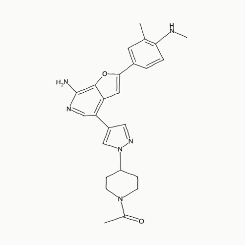 CNc1ccc(-c2cc3c(-c4cnn(C5CCN(C(C)=O)CC5)c4)cnc(N)c3o2)cc1C